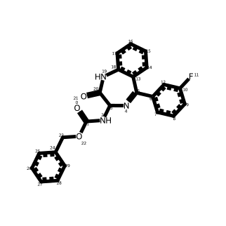 O=C(NC1N=C(c2cccc(F)c2)c2ccccc2NC1=O)OCc1ccccc1